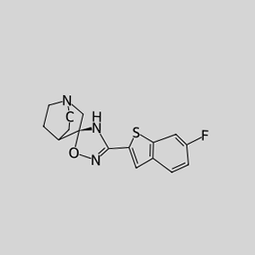 Fc1ccc2cc(C3=NO[C@]4(CN5CCC4CC5)N3)sc2c1